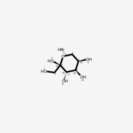 Br.OC[C@]1(O)OC[C@@H](O)[C@@H](O)[C@@H]1O